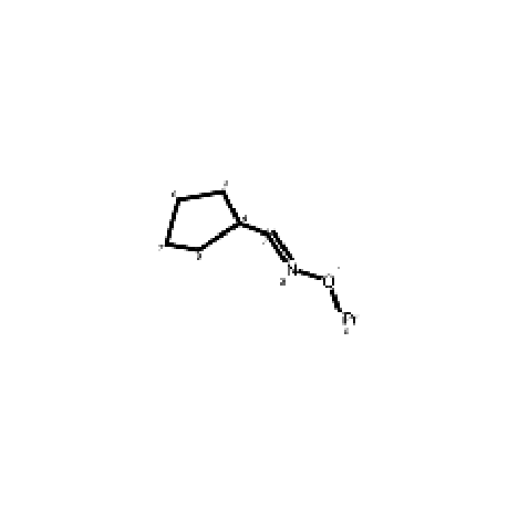 CC(C)O/N=[C]/C1CCCC1